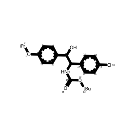 CC(C)Oc1ccc(C(O)C(NC(=O)OC(C)(C)C)c2ccc(Cl)cc2)cc1